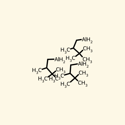 CC([CH2][AlH2])C(C)(C)C.CC([CH2][AlH2])C(C)(C)C.CC([CH2][AlH2])C(C)(C)C